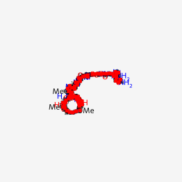 CO[C@H]1C[C@@H]2CC[C@@H](C)[C@@](O)(O2)C(=O)C(=O)N2CCCC[C@H]2C(=O)O[C@H]([C@H](N)C[C@@H]2CC[C@H](n3nncc3-c3cccc(-c4cnc(N5CCN(C(=O)CCc6cn(CCOCCOCCOCCC(=O)NCCCCn7nc(-c8ccc9oc(N)nc9c8)c8c(N)ncnc87)nn6)CC5)nc4)c3)[C@H](OC)C2)CC(=O)[C@H](C)/C=C(\C)[C@@H](O)[C@@H](OC)C(=O)[C@H](C)C[C@H](C)/C=C/C=C/C=C/1C